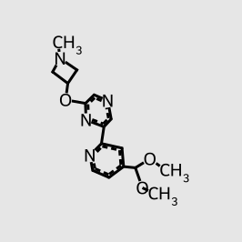 COC(OC)c1ccnc(-c2cncc(OC3CN(C)C3)n2)c1